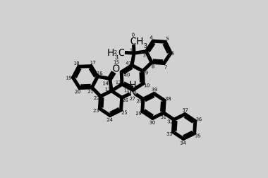 CC1(C)c2ccccc2-c2ccc(C34C(=O)c5ccccc5C3=CC=CC4Nc3ccc(-c4ccccc4)cc3)cc21